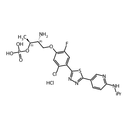 CC(C)Nc1ccc(-c2nnc(-c3cc(F)c(OC[C@@H](N)[C@H](C)OP(=O)(O)O)cc3Cl)s2)cn1.Cl